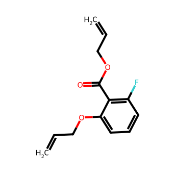 C=CCOC(=O)c1c(F)cccc1OCC=C